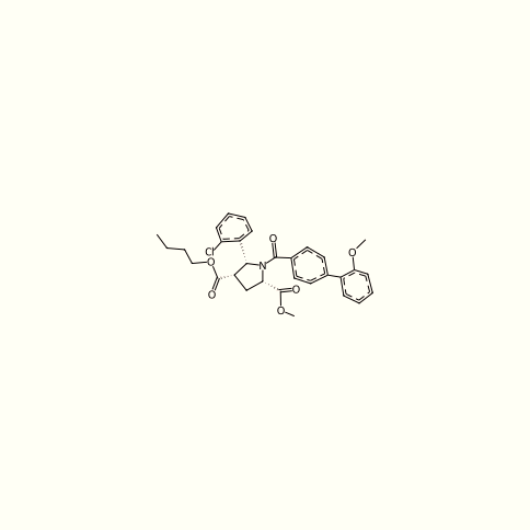 CCCCOC(=O)[C@H]1C[C@@H](C(=O)OC)N(C(=O)c2ccc(-c3ccccc3OC)cc2)[C@H]1c1ccccc1Cl